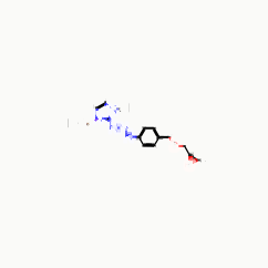 CSn1ccn(C)/c1=N\N=N\c1ccc(COCC2CO2)cc1